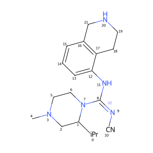 CC(C)C1CN(C)CCN1/C(=N\C#N)Nc1cccc2c1CCNC2